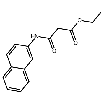 CCOC(=O)CC(=O)Nc1ccc2ccccc2c1